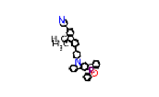 CC1(C)c2cc(-c3ccncc3)ccc2-c2ccc(-c3ccc(-n4c5ccccc5c5cc6c(cc54)-c4ccccc4P6(=O)c4ccccc4)cc3)cc21